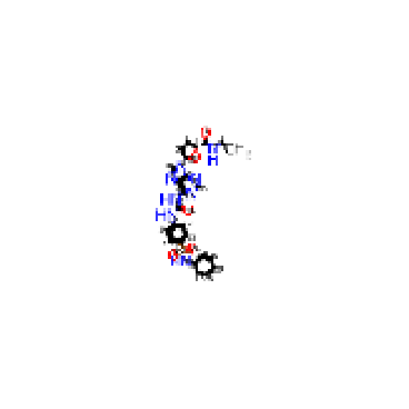 CCNC(=O)[C@@H]1CC[C@H](n2cnc3c(NC(=O)Nc4ccc(S(=O)(=O)NC5CCCCC5)cc4)ncnc32)O1